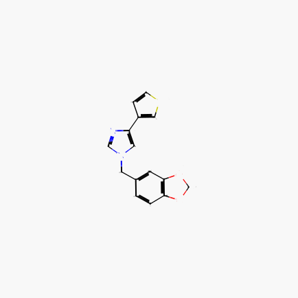 c1cc(-c2cn(Cc3ccc4c(c3)OCO4)cn2)cs1